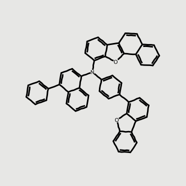 c1ccc(-c2ccc(N(c3ccc(-c4cccc5c4oc4ccccc45)cc3)c3cccc4c3oc3c5ccccc5ccc43)c3ccccc23)cc1